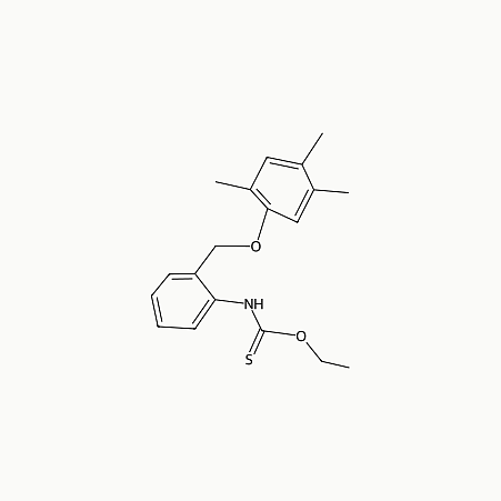 CCOC(=S)Nc1ccccc1COc1cc(C)c(C)cc1C